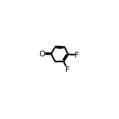 O=C1C=CC(F)=C(F)C1